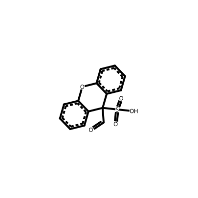 O=CC1(S(=O)(=O)O)c2ccccc2Oc2ccccc21